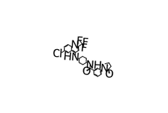 O=C(NC1CCC(Nc2cc(C(F)(F)F)nc3ccc(Cl)cc23)CC1)c1cccc(N2CCCC2=O)c1